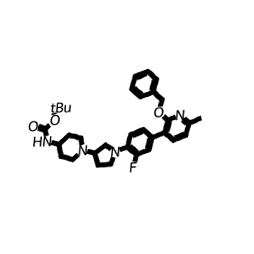 Cc1ccc(-c2ccc(N3CCC(N4CCC(NC(=O)OC(C)(C)C)CC4)C3)c(F)c2)c(OCc2ccccc2)n1